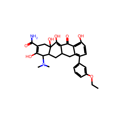 CCOc1cccc(-c2ccc(O)c3c2CC2CC4C(N(C)C)C(O)=C(C(N)=O)CC4(O)C(O)=C2C3=O)c1